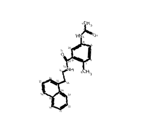 CC(=O)Nc1ccc(C)c(C(=O)NCCc2cccc3ccccc23)c1